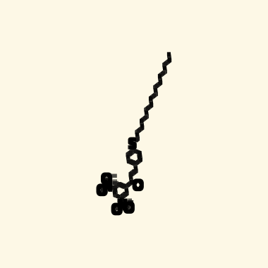 CCCCCCCCCCCCCCCCSc1ccc(/C=C/C(=O)c2cc([N+](=O)[O-])cc([N+](=O)[O-])c2)cc1